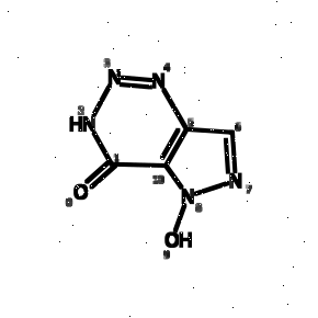 O=c1[nH]nnc2cnn(O)c12